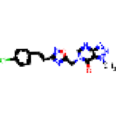 Cn1nnc2ncn(Cc3nc(C=Cc4ccc(Cl)cc4)no3)c(=O)c21